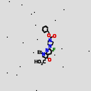 CCn1cc(C(=O)O)c(=O)c2cc(F)c(N3CCN(C(=O)OCc4ccccc4)CC3)nc21